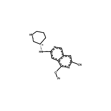 CC(C)Oc1nc(C#N)cc2cnc(N[C@H]3CCCNC3)cc12